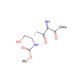 COC(=O)C(=N)C(=O)C[C@@H](CO)NC(=O)OC(C)(C)C